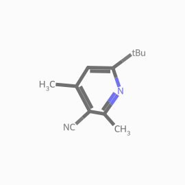 Cc1cc(C(C)(C)C)nc(C)c1C#N